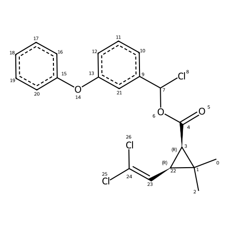 CC1(C)[C@H](C(=O)OC(Cl)c2cccc(Oc3ccccc3)c2)[C@@H]1C=C(Cl)Cl